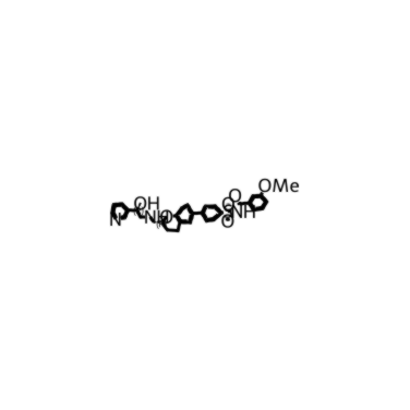 COc1cccc(C(=O)NS(=O)(=O)c2ccc(-c3ccc4c(c3)CC[C@H](CNC[C@H](O)c3cccnc3)O4)cc2)c1